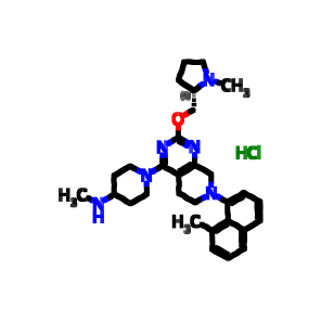 CNC1CCN(c2nc(OC[C@@H]3CCCN3C)nc3c2CCN(c2cccc4cccc(C)c24)C3)CC1.Cl